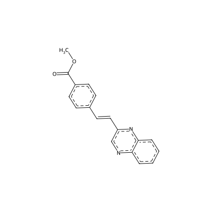 COC(=O)c1ccc(/C=C/c2cnc3ccccc3n2)cc1